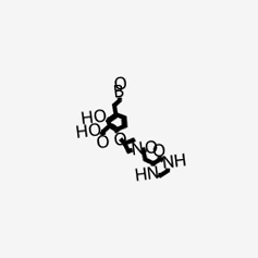 O=BCCc1ccc(OC2CN(C(=O)CC3NCCNC3=O)C2)c(C(=O)O)c1O